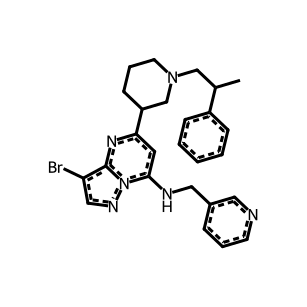 CC(CN1CCCC(c2cc(NCc3cccnc3)n3ncc(Br)c3n2)C1)c1ccccc1